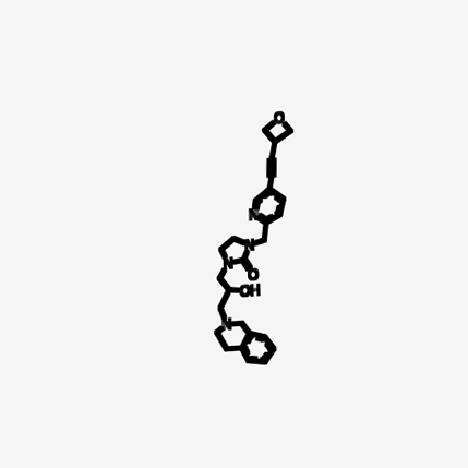 O=C1N(Cc2ccc(C#CC3COC3)cn2)CCN1CC(O)CN1CCc2ccccc2C1